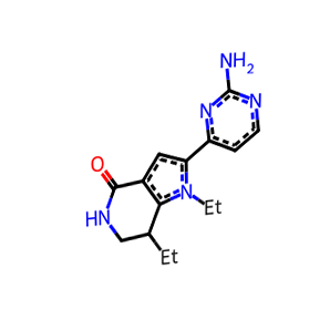 CCC1CNC(=O)c2cc(-c3ccnc(N)n3)n(CC)c21